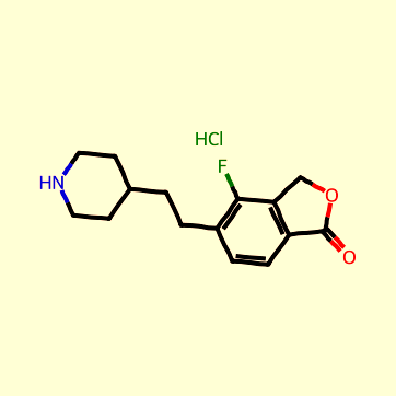 Cl.O=C1OCc2c1ccc(CCC1CCNCC1)c2F